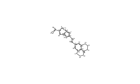 CC(=O)c1ccc2nc(/N=N/c3cc4c5c(c3)CCCN5CCC4)sc2c1